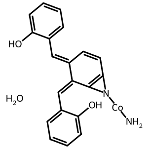 O.[NH2][Co][N]1c2ccc(=Cc3ccccc3O)c(=Cc3ccccc3O)c21